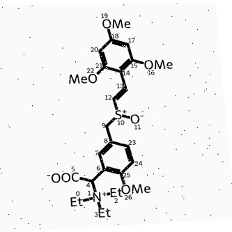 CC[N+](CC)(CC)C(C(=O)[O-])c1cc(C[S+]([O-])/C=C/c2c(OC)cc(OC)cc2OC)ccc1OC